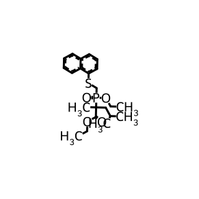 CCOC(=O)C(C)(CC(C)C)P(=O)(CSc1cccc2ccccc12)OCC